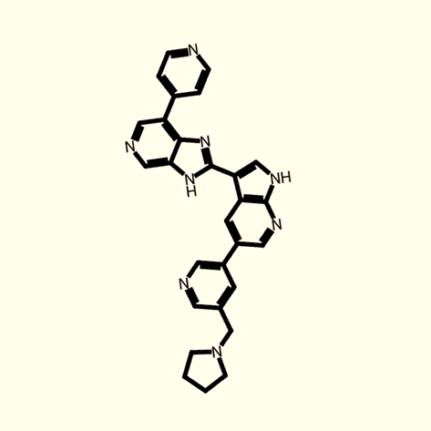 c1cc(-c2cncc3[nH]c(-c4c[nH]c5ncc(-c6cncc(CN7CCCC7)c6)cc45)nc23)ccn1